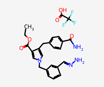 CCOC(=O)c1cn(Cc2cccc(C=NN)c2)cc1Cc1ccc(C(N)=O)cc1.O=C(O)C(F)(F)F